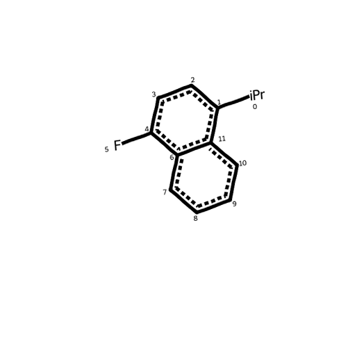 CC(C)c1ccc(F)c2ccccc12